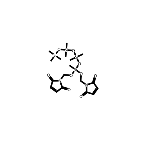 C[Si](C)(C)O[Si](C)(C)O[Si](C)(C)O[Si](C)(OCN1C(=O)C=CC1=O)OCN1C(=O)C=CC1=O